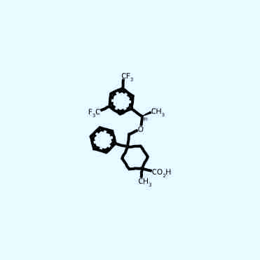 C[C@@H](OCC1(c2ccccc2)CCC(C)(C(=O)O)CC1)c1cc(C(F)(F)F)cc(C(F)(F)F)c1